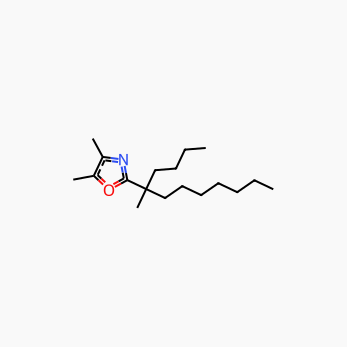 CCCCCCCC(C)(CCCC)c1nc(C)c(C)o1